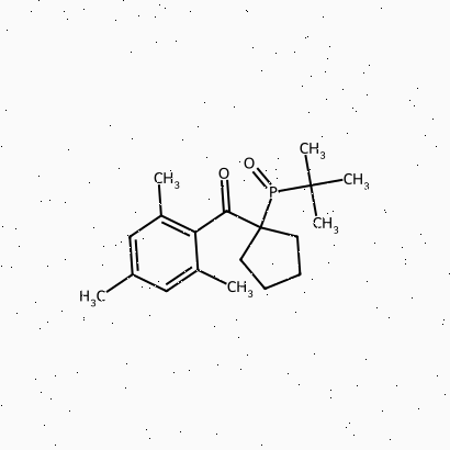 Cc1cc(C)c(C(=O)C2([P](=O)C(C)(C)C)CCCC2)c(C)c1